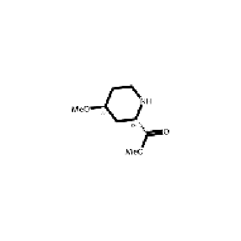 COC(=O)[C@@H]1C[C@@H](OC)CCN1